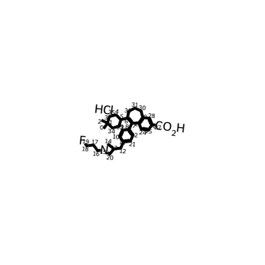 CC1(C)CCC(C2=C(c3ccc(CC4CN(CCCF)C4)cc3)c3ccc(C(=O)O)cc3CCC2)CC1.Cl